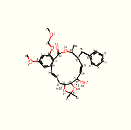 COCOc1cc(OC)cc2c1C(=O)O[C@@H](C)[C@@H](Cc1ccccc1)/C=C\C(O)[C@H]1OC(C)(C)O[C@H]1C/C=C/2